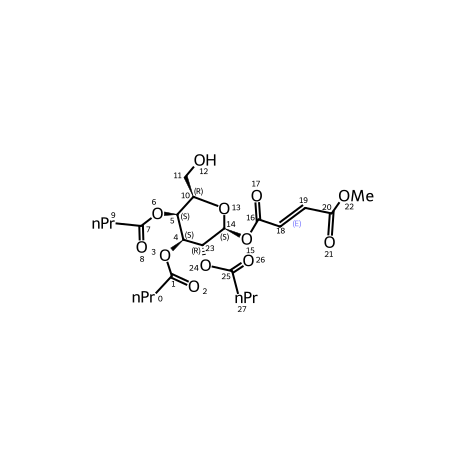 CCCC(=O)O[C@H]1[C@@H](OC(=O)CCC)[C@@H](CO)O[C@@H](OC(=O)/C=C/C(=O)OC)[C@@H]1OC(=O)CCC